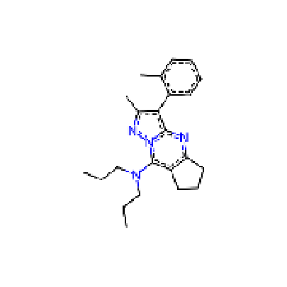 CCCN(CCC)c1c2c(nc3c(-c4ccccc4C)c(C)nn13)CCC2